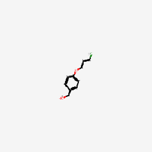 OCc1ccc(OCCCCl)cc1